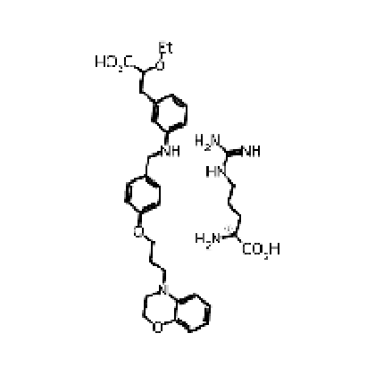 CCOC(Cc1cccc(NCc2ccc(OCCCN3CCOc4ccccc43)cc2)c1)C(=O)O.N=C(N)NCCC[C@H](N)C(=O)O